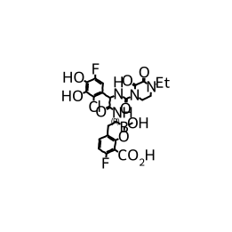 CCN1CCN(C(=O)NC(C(=O)N[C@H]2Cc3ccc(F)c(C(=O)O)c3OB2O)c2cc(F)c(O)c(O)c2Cl)C(=O)C1=O